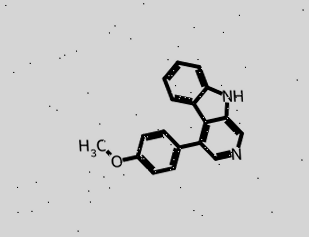 COc1ccc(-c2cncc3[nH]c4ccccc4c23)cc1